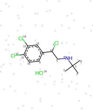 CC(C)(C)NCC(Cl)c1ccc(Cl)c(Cl)c1.Cl